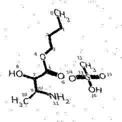 CCCCOC(=O)C(O)[C@H](C)N.CS(=O)(=O)O